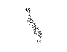 C=CCCC1COC(c2ccc(-c3ccc(-c4ccc(OCCCCCC)c(F)c4F)cc3)c(F)c2F)OC1